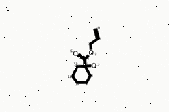 C=CCOC(=O)C1([O])CCCCC1